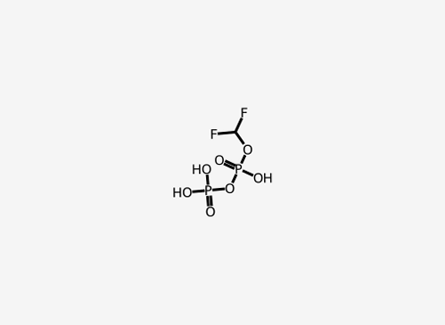 O=P(O)(O)OP(=O)(O)OC(F)F